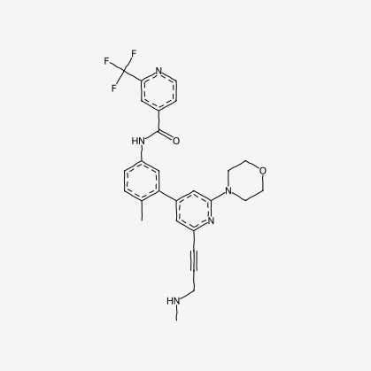 CNCC#Cc1cc(-c2cc(NC(=O)c3ccnc(C(F)(F)F)c3)ccc2C)cc(N2CCOCC2)n1